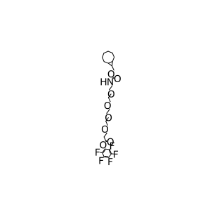 O=C(CCOCCOCCOCCOCCNC(=O)OCC1C2CCCCCCC21)Oc1c(F)c(F)c(F)c(F)c1F